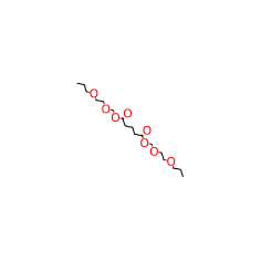 CCCOCCOCOC(=O)CCCC(=O)OCOCCOCCC